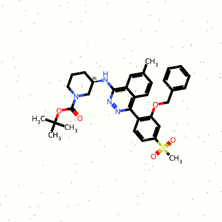 Cc1ccc2c(-c3ccc(S(C)(=O)=O)cc3OCc3ccccc3)nnc(N[C@@H]3CCCN(C(=O)OC(C)(C)C)C3)c2c1